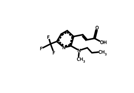 CCCN(C)c1nc(C(F)(F)F)ccc1C=CC(=O)O